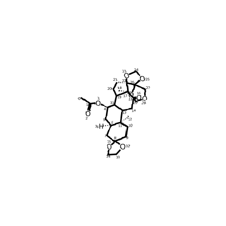 CC(=O)O[C@@H]1C[C@@H]2CC3(CC[C@]2(C)C2CC(=O)[C@@]4(C)C(CC[C@@]45OCOC54COCO4)C21)OCCO3